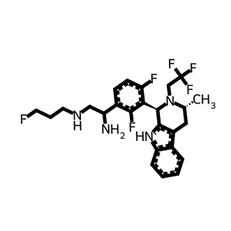 C[C@@H]1Cc2c([nH]c3ccccc23)[C@@H](c2c(F)ccc(C(N)CNCCCF)c2F)N1CC(F)(F)F